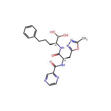 Cc1nnc(C[C@@H](NC(=O)c2cnccn2)C(=O)N[C@@H](CCCc2ccccc2)B(O)O)o1